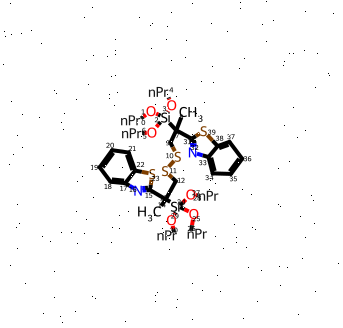 CCCO[Si](OCCC)(OCCC)C(C)(CSSCC(C)(c1nc2ccccc2s1)[Si](OCCC)(OCCC)OCCC)c1nc2ccccc2s1